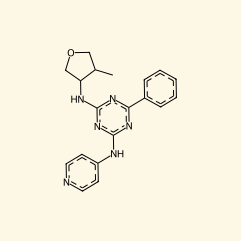 CC1COCC1Nc1nc(Nc2ccncc2)nc(-c2ccccc2)n1